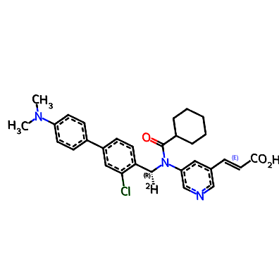 [2H][C@H](c1ccc(-c2ccc(N(C)C)cc2)cc1Cl)N(C(=O)C1CCCCC1)c1cncc(/C=C/C(=O)O)c1